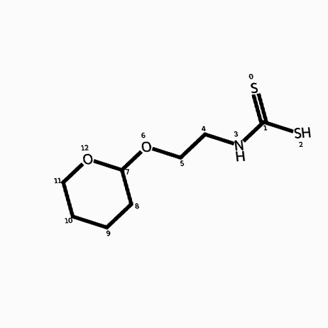 S=C(S)NCCOC1CCCCO1